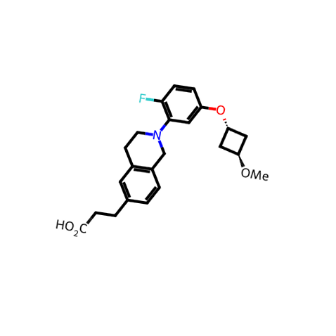 CO[C@H]1C[C@H](Oc2ccc(F)c(N3CCc4cc(CCC(=O)O)ccc4C3)c2)C1